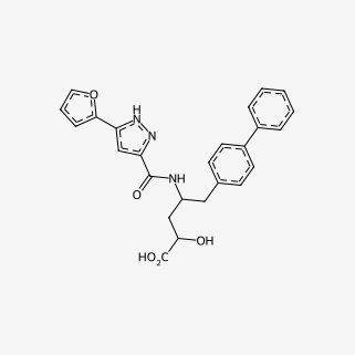 O=C(NC(Cc1ccc(-c2ccccc2)cc1)CC(O)C(=O)O)c1cc(-c2ccco2)[nH]n1